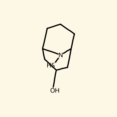 OC1CC2CCCC(C1)N2S